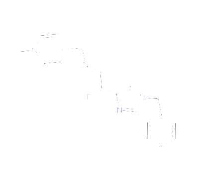 CN1C=CS2(C)CN(CC(F)c3cn4c(n3)-c3ccccc3C4)C=C2C1